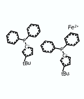 CC(C)(C)c1cc[c-](P(c2ccccc2)c2ccccc2)c1.CC(C)(C)c1cc[c-](P(c2ccccc2)c2ccccc2)c1.[Fe+2]